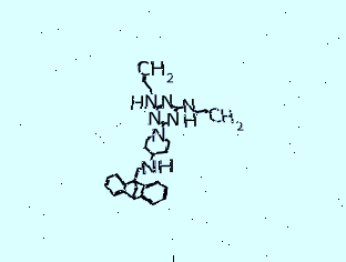 C=CCNc1nc(NCC=C)nc(N2CCC(NCC34CCC(c5ccccc53)c3ccccc34)CC2)n1